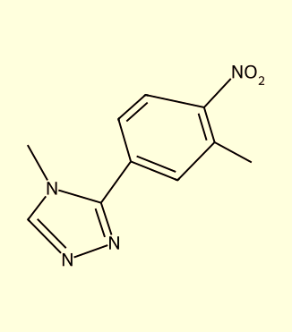 Cc1cc(-c2nncn2C)ccc1[N+](=O)[O-]